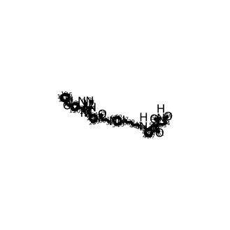 Nc1ncnc2c1c(-c1ccc(Oc3ccccc3)cc1)nn2C1CCCN(C(=O)CCCN2CCN(CCCCCCNc3cccc4c3CN(C3CCC(=O)NC3=O)C4=O)CC2)C1